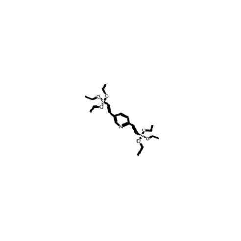 CCO[Si](/C=C/c1ccc(/C=C/[Si](OCC)(OCC)OCC)nc1)(OCC)OCC